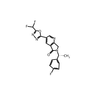 C[C@H](c1ccc(F)cc1)N1Cc2ncc(-c3nnc(C(F)F)o3)cc2C1=O